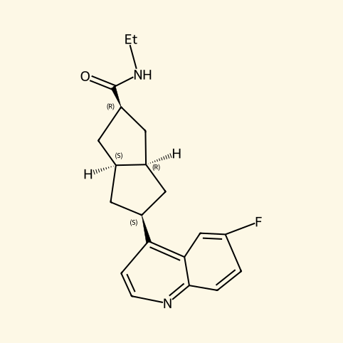 CCNC(=O)[C@@H]1C[C@@H]2C[C@H](c3ccnc4ccc(F)cc34)C[C@@H]2C1